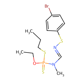 CCCSP(=S)(OCC)N(C)C=NSc1ccc(Br)cc1